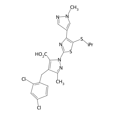 Cc1nn(-c2nc(-c3cnn(C)c3)c(SC(C)C)s2)c(C(=O)O)c1Cc1ccc(Cl)cc1Cl